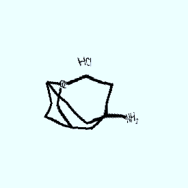 Cl.NC12CC3COC(CC(C3)C1)C2